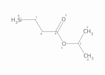 CC(C)OC(=O)CC[SiH3]